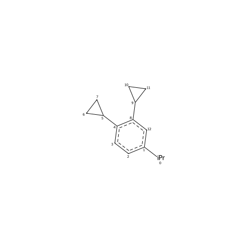 [CH2]C(C)c1ccc(C2CC2)c(C2CC2)c1